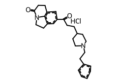 Cl.O=C(CCC1CCN(CCc2ccccc2)CC1)c1cc2c3c(c1)CCN3C(=O)CC2